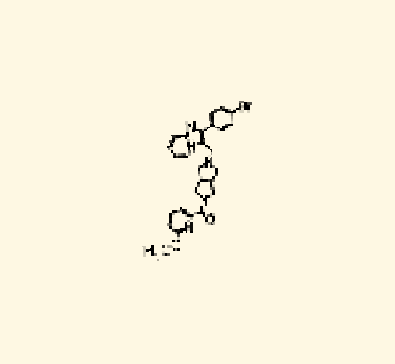 COc1cccc(C(=O)N2CC3CN(Cc4c(-c5ccc(Br)cc5)nc5ccccn45)CC3C2)n1